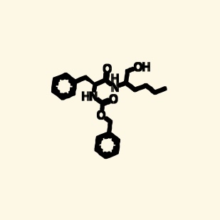 CCCCC(CO)NC(=O)[C@H](Cc1ccccc1)NC(=O)OCc1ccccc1